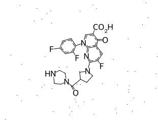 O=C(O)c1cn(-c2ccc(F)cc2F)c2nc(N3CCC(C(=O)N4CCNCC4)C3)c(F)cc2c1=O